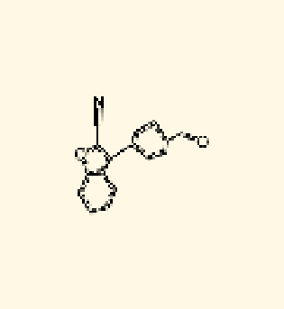 N#Cc1oc2ccccc2c1-c1ccc(C=O)cc1